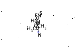 Cc1cc(/C=C/C#N)cc(C)c1Oc1ccnc(Nc2ccc(N3CCSCC3)c(F)c2)n1